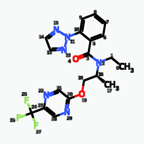 CCN(C(=O)c1ccccc1-n1nccn1)[C@@H](C)COc1cnc(C(F)(F)F)cn1